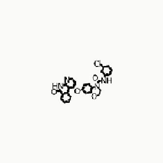 O=C(Nc1cccc(Cl)c1)N1CCOc2cc(Oc3ccnc4[nH]c(=O)c5ccccc5c34)ccc21